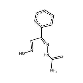 NC(=S)NN=C(C=NO)c1ccccc1